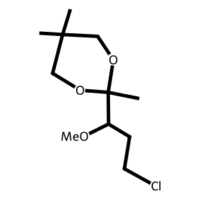 COC(CCCl)C1(C)OCC(C)(C)CO1